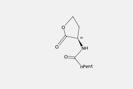 CCCCCC(=O)N[C@@H]1CCOC1=O